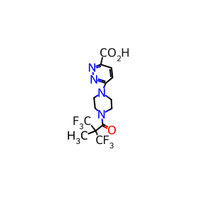 CC(C(=O)N1CCN(c2ccc(C(=O)O)nn2)CC1)(C(F)(F)F)C(F)(F)F